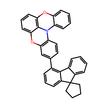 c1ccc2c(c1)Oc1cccc3c1N2c1ccc(-c2cccc4c2-c2ccccc2C42CCCC2)cc1O3